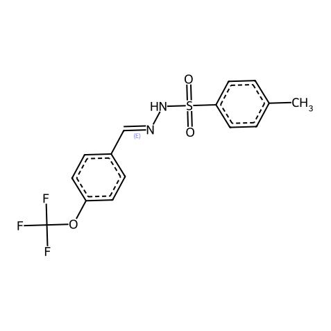 Cc1ccc(S(=O)(=O)N/N=C/c2ccc(OC(F)(F)F)cc2)cc1